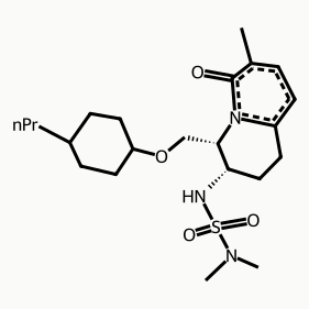 CCCC1CCC(OC[C@H]2[C@@H](NS(=O)(=O)N(C)C)CCc3ccc(C)c(=O)n32)CC1